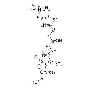 CCOC(=O)C1=C(N)C(NCC(O)COc2nc(CN(C)C)cs2)=NS1(=O)=O